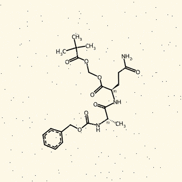 C[C@H](NC(=O)OCc1ccccc1)C(=O)N[C@H](CCC(N)=O)C(=O)OCOC(=O)C(C)(C)C